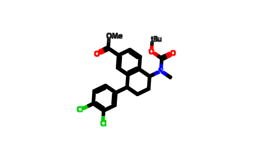 COC(=O)c1ccc2c(c1)C(c1ccc(Cl)c(Cl)c1)CCC2N(C)C(=O)OC(C)(C)C